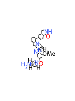 COc1cc(C(=O)N2C[C@H]3CC[C@@H]2C[C@@H]3N)cc2nc(-c3cc4cccc(-c5ccc6c(=O)[nH]ccc6c5)c4n3CC3CC3)n(C)c12